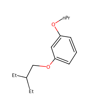 CCCOc1cccc(OCC(CC)CC)c1